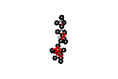 c1cc(-c2ccc3ccccc3c2)cc(N(c2cccc(-c3ccccc3-n3c4ccccc4c4ccccc43)c2)c2ccccc2-c2cccc3c2oc2cc(-c4ccc(-c5cccc(N(c6ccccc6-c6cccc7ccccc67)c6ccccc6-c6cccc7c6oc6ccccc67)c5)c(-n5c6ccccc6c6ccccc65)c4)ccc23)c1